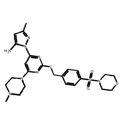 Cc1cc(N)n(-c2cc(N3CCN(C)CC3)nc(SCc3ccc(S(=O)(=O)N4CCOCC4)cc3)n2)n1